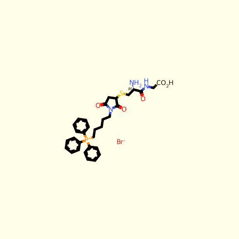 N[C@@H](CSC1CC(=O)N(CCCCC[P+](c2ccccc2)(c2ccccc2)c2ccccc2)C1=O)C(=O)NCC(=O)O.[Br-]